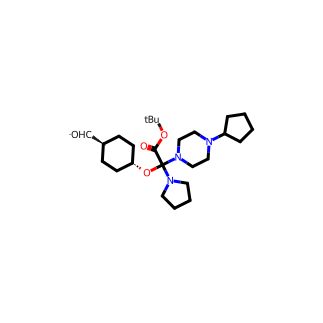 CC(C)(C)OC(=O)C(O[C@H]1CC[C@H]([C]=O)CC1)(N1CCCC1)N1CCN(C2CCCC2)CC1